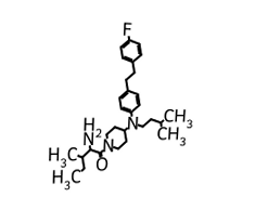 CCC(C)C(N)C(=O)N1CCC(N(CCC(C)C)c2ccc(CCc3ccc(F)cc3)cc2)CC1